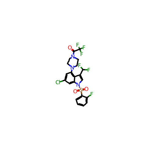 O=C(N1CCN(c2cc(Cl)cc3c2c(C(F)F)cn3S(=O)(=O)c2ccccc2F)CC1)C(F)(F)F